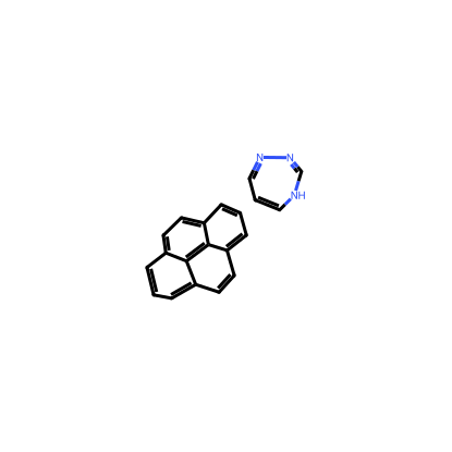 C1=CNC=NN=C1.c1cc2ccc3cccc4ccc(c1)c2c34